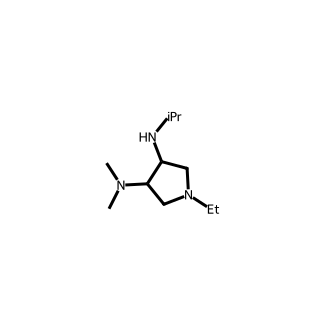 CCN1CC(NC(C)C)C(N(C)C)C1